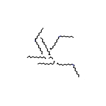 CCCCCCCC/C=C\CCCCCCCC(=O)OC(CCCCCCCCCC)C(=O)OCC(COC(=O)C(CCCCCCCCCC)OC(=O)CCCCCCC/C=C\CCCCCCCC)OC(=O)C(CCCCCCCCCC)OC(=O)CCCCCCC/C=C\CCCCCCCC